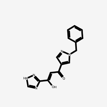 O=C(C=C(O)c1nc[nH]n1)c1cnn(Cc2ccccc2)c1